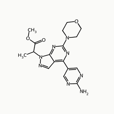 COC(=O)C(C)n1ncc2c(-c3cnc(N)nc3)nc(N3CCOCC3)nc21